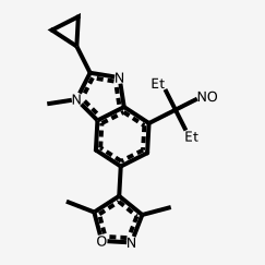 CCC(CC)(N=O)c1cc(-c2c(C)noc2C)cc2c1nc(C1CC1)n2C